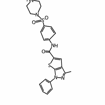 Cc1nn(-c2ccccc2)c2sc(C(=O)Nc3ccc(S(=O)(=O)N4CCNCC4)cc3)cc12